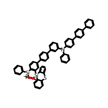 c1ccc(-c2ccc(-c3ccc(N(c4ccccc4)c4cccc(-c5ccc(-c6ccc7c(c6)[Si]6(c8ccccc8Sc8ccccc86)c6ccccc6[SiH]7c6ccccc6)cc5)c4)cc3)cc2)cc1